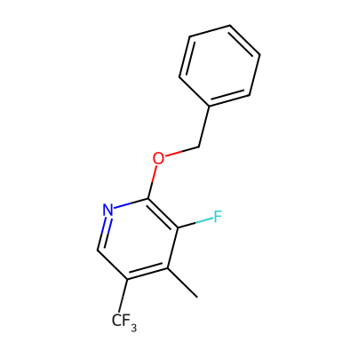 Cc1c(C(F)(F)F)cnc(OCc2ccccc2)c1F